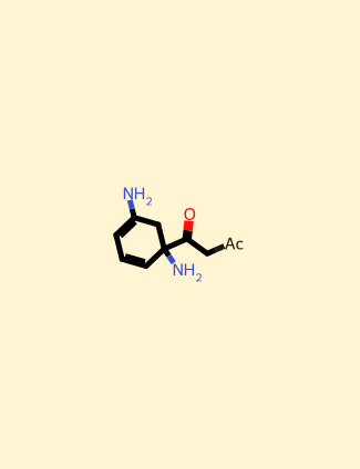 CC(=O)CC(=O)C1(N)C=CC=C(N)C1